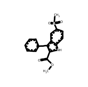 COC(=O)c1[nH]c2ccc(S(C)(=O)=O)cc2c1-c1ccccc1